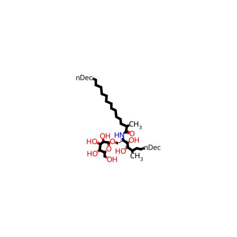 CCCCCCCCCCCCCCCCCCCCCCC(C)C(=O)N[C@@H](COC1OC(CO)C(O)C(O)C1O)[C@H](O)[C@H](O)C(C)CCCCCCCCCCCC